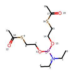 CCN(CC)P(OCCSC(C)=O)OCCSC(C)=O